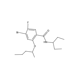 CCCC(C)Oc1cc(Br)c(F)cc1C(=O)NC(CC)CC